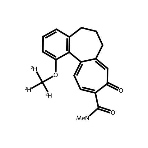 [2H]C([2H])([2H])Oc1cccc2c1-c1ccc(C(=O)NC)c(=O)cc1CCC2